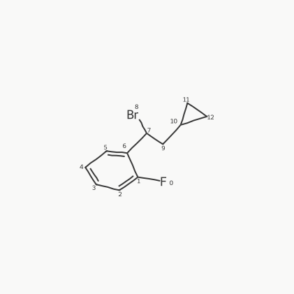 Fc1ccccc1C(Br)CC1CC1